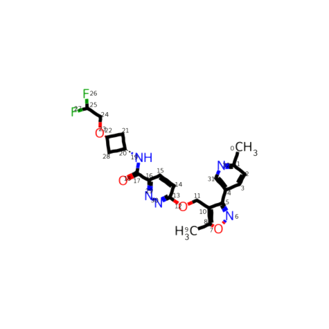 Cc1ccc(-c2noc(C)c2COc2ccc(C(=O)N[C@H]3C[C@@H](OCC(F)F)C3)nn2)cn1